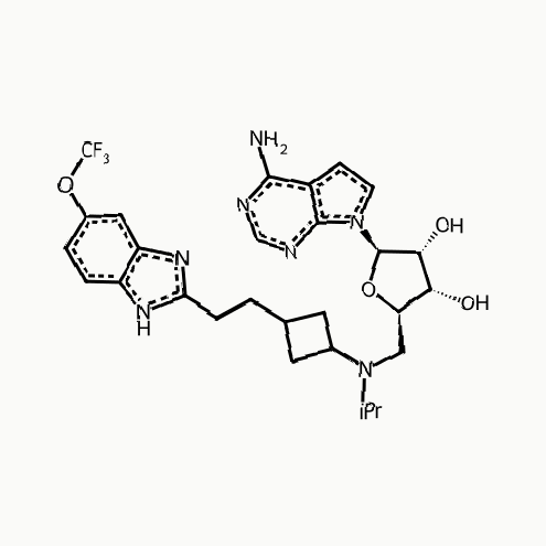 CC(C)N(C[C@H]1O[C@@H](n2ccc3c(N)ncnc32)[C@H](O)[C@@H]1O)C1CC(CCc2nc3cc(OC(F)(F)F)ccc3[nH]2)C1